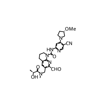 CO[C@H]1CCN(c2cc(NC(=O)N3CCCc4cc(CN(C)C(=O)[C@H](C)O)c(C=O)nc43)ncc2C#N)C1